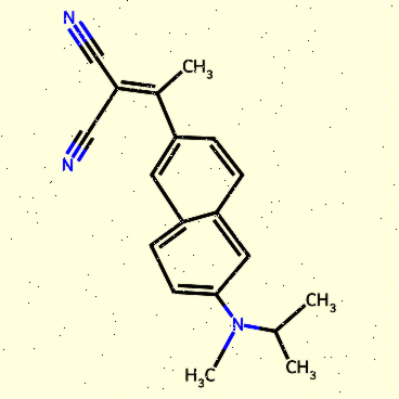 CC(=C(C#N)C#N)c1ccc2cc(N(C)C(C)C)ccc2c1